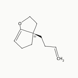 C=CCC[C@@]12CCC=C1OCC2